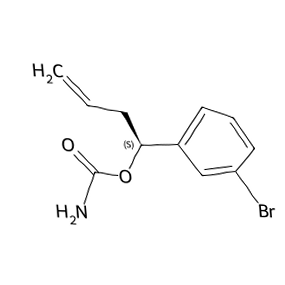 C=CC[C@H](OC(N)=O)c1cccc(Br)c1